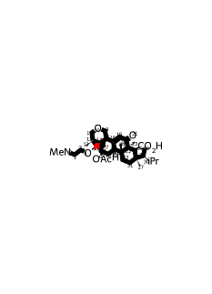 CNCCO[C@H]1[C@H](OC(C)=O)C[C@]23COC[C@@]1(C)[C@@H]2CC[C@H]1C3=CC(=O)[C@@]2(C)[C@H](C(=O)O)[C@@](C)([C@H](C)C(C)C)CC[C@]12C